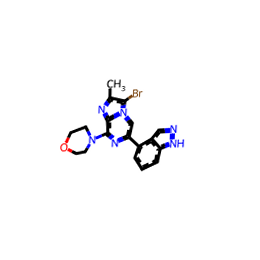 Cc1nc2c(N3CCOCC3)nc(-c3cccc4[nH]ncc34)cn2c1Br